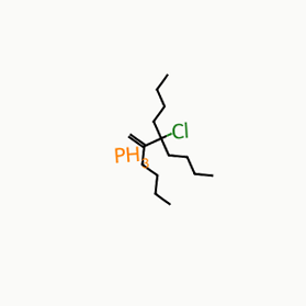 C=C(CCCC)C(Cl)(CCCC)CCCC.P